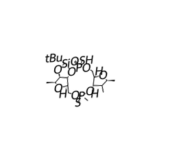 CC1[C@H](C)O[C@@H]2COP(=O)(S)OC3[C@@H](COP(C)(=S)O[C@H]12)O[C@@H](C)[C@H]3O[Si](C)(C)C(C)(C)C